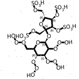 O=S(=O)(O)OC[C@H]1O[C@@](COS(=O)(=O)O)(O[C@@H]2OC(COOO)[C@@H](OOO)[C@H](OOO)C2OOO)[C@H](OS(=O)(=O)O)[C@@H]1OS(=O)(=O)O